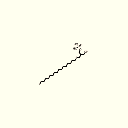 CCCCCCCCCCCCCCCCCSCC(CO)COP(=O)(O)O